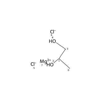 CC(O)CO.[Cl-].[Cl-].[Mg+2]